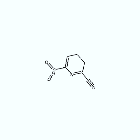 N#CC1=NC([SH](=O)=O)=CCC1